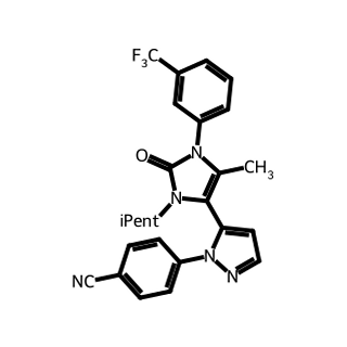 CCCC(C)n1c(-c2ccnn2-c2ccc(C#N)cc2)c(C)n(-c2cccc(C(F)(F)F)c2)c1=O